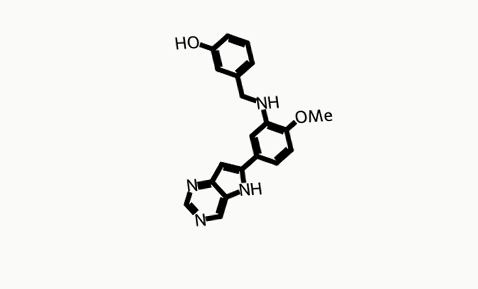 COc1ccc(-c2cc3ncncc3[nH]2)cc1NCc1cccc(O)c1